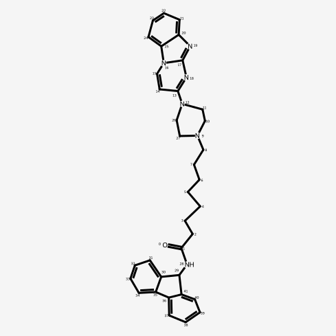 O=C(CCCCCCCN1CCN(c2ccn3c(n2)nc2ccccc23)CC1)NC1c2ccccc2-c2ccccc21